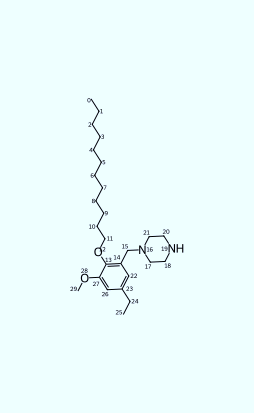 CCCCCCCCCCCCOc1c(CN2CCNCC2)cc(CC)cc1OC